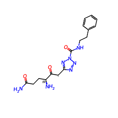 NC(=O)CC[C@H](N)C(=O)[CH]c1nnn(C(=O)NCCc2ccccc2)n1